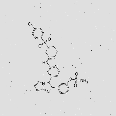 NS(=O)(=O)Oc1cccc(C2N=C3SC=CN3C2c2ccnc(N[C@@H]3CCCN(S(=O)(=O)c4ccc(Cl)cc4)C3)n2)c1